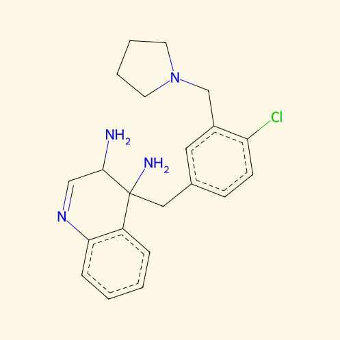 NC1C=Nc2ccccc2C1(N)Cc1ccc(Cl)c(CN2CCCC2)c1